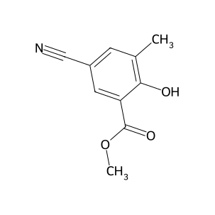 COC(=O)c1cc(C#N)cc(C)c1O